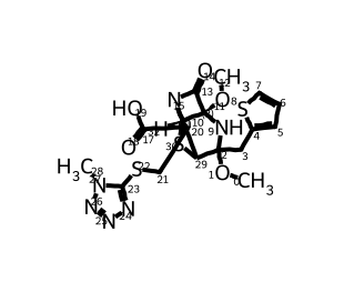 COC1(Cc2cccs2)N[C@@]2(OC)C(=O)N3C(C(=O)O)=C(CSc4nnnn4C)C1S[C@H]32